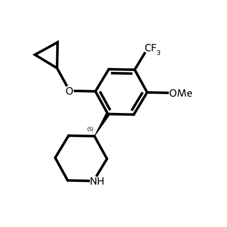 COc1cc([C@@H]2CCCNC2)c(OC2CC2)cc1C(F)(F)F